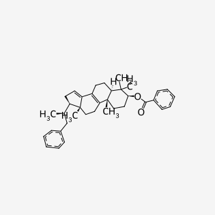 C[C@H](Cc1ccccc1)[C@H]1CC=C2C3=C(CC[C@@]21C)[C@@]1(C)CC[C@H](OC(=O)c2ccccc2)C(C)(C)[C@@H]1CC3